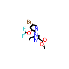 CCOC(=O)c1cn(-c2ncc(Br)cc2OC(F)F)c(CC)n1